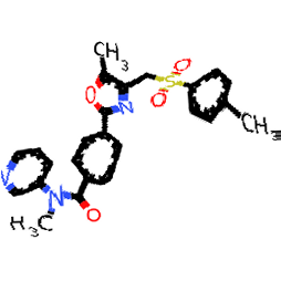 Cc1ccc(S(=O)(=O)Cc2nc(-c3ccc(C(=O)N(C)c4cccnc4)cc3)oc2C)cc1